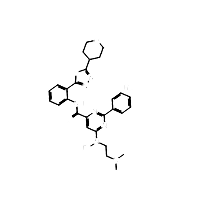 CCN(CCN(C)C)c1cc(C(=O)Nc2ccccc2-c2nnc(C3CCOCC3)s2)nc(-c2ccccc2)n1.Cl